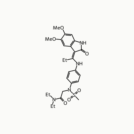 CC/C(Nc1ccc(N(CC(=O)N(CC)CC)S(C)(=O)=O)cc1)=C1/C(=O)Nc2cc(OC)c(OC)cc21